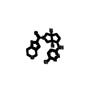 O=C(c1cc2c(s1)CCOC2)N1C[C@@H]2CC[C@@H](Nc3ccc(Cl)nn3)[C@@H]2C1